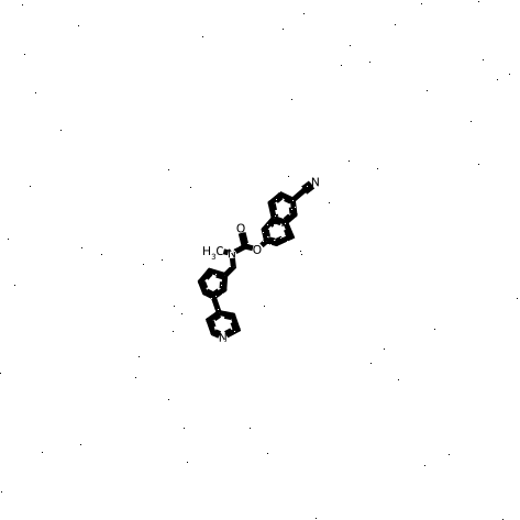 CN(Cc1cccc(-c2ccncc2)c1)C(=O)Oc1ccc2cc(C#N)ccc2c1